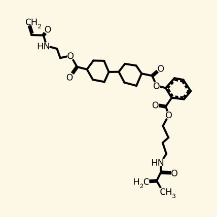 C=CC(=O)NCCOC(=O)C1CCC(C2CCC(C(=O)Oc3ccccc3C(=O)OCCCCNC(=O)C(=C)C)CC2)CC1